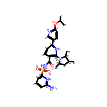 CC(C)Oc1ccc(-c2ccc(C(=O)NS(=O)(=O)c3cccc(N)n3)c(N3C(C)CC(C)C3C)n2)cn1